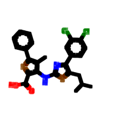 Cc1c(-c2ccccc2)sc(C(=O)O)c1Nc1nc(-c2ccc(Cl)c(Cl)c2)c(CC(C)C)s1